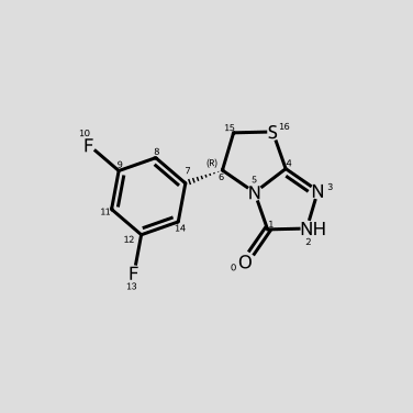 O=c1[nH]nc2n1[C@H](c1cc(F)cc(F)c1)CS2